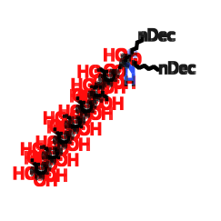 CCCCCCCCCCCCC/C=C/[C@@H](O)[C@H](CO[C@@H]1OC(CO)[C@@H](O[C@@H]2OC(CO)[C@H](O[C@@H]3OC(CO)[C@H](O)[C@H](O[C@H]4OC(CO)[C@H](O)[C@H](O[C@H]5OC(CO)[C@H](O)[C@H](O[C@H]6OC(CO)[C@H](O)[C@H](O[C@H]7OC(CO)[C@H](O)[C@H](O)C7O)C6O)C5O)C4O)C3O)[C@H](O)C2O)[C@H](O)C1O)NC(=O)CCCCCCCCCCCCCCC